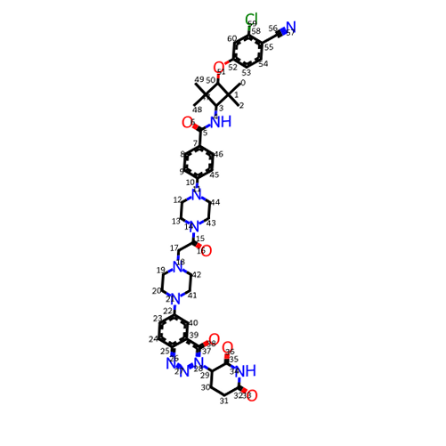 CC1(C)C(NC(=O)c2ccc(N3CCN(C(=O)CN4CCN(c5ccc6nnn(C7CCC(=O)NC7=O)c(=O)c6c5)CC4)CC3)cc2)C(C)(C)C1Oc1ccc(C#N)c(Cl)c1